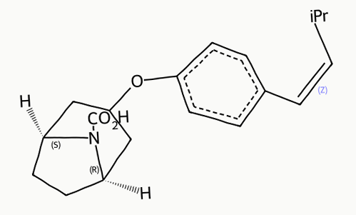 CC(C)/C=C\c1ccc(OC2C[C@H]3CC[C@@H](C2)N3C(=O)O)cc1